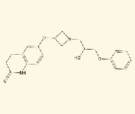 O=C1CCc2cc(OC3CN(CC(O)COc4ccccc4)C3)ccc2N1